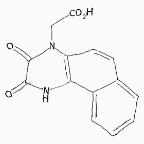 O=C(O)Cn1c(=O)c(=O)[nH]c2c3ccccc3ccc21